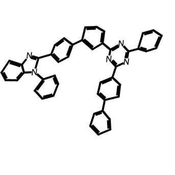 c1ccc(-c2ccc(-c3nc(-c4ccccc4)nc(-c4cccc(-c5ccc(-c6nc7ccccc7n6-c6ccccc6)cc5)c4)n3)cc2)cc1